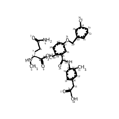 CN[C@H](CCC(N)=O)C(=O)O.Cc1cc(CC(=O)O)ccc1NC(=O)c1cc(OCc2cccc(Cl)c2)ccc1C